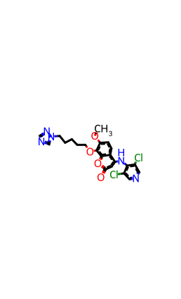 COc1ccc2c(Nc3c(Cl)cncc3Cl)cc(=O)oc2c1OCCCCCn1cncn1